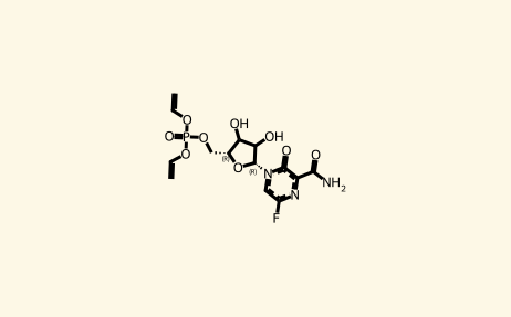 C=COP(=O)(OC=C)OC[C@H]1O[C@@H](n2cc(F)nc(C(N)=O)c2=O)C(O)C1O